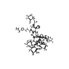 CCCC[C@H]1CN(Cc2ccccc2)C(=O)CN1C[C@H](CSC(c1ccccc1)(c1ccccc1)c1ccccc1)NC(=O)OC(C)(C)C